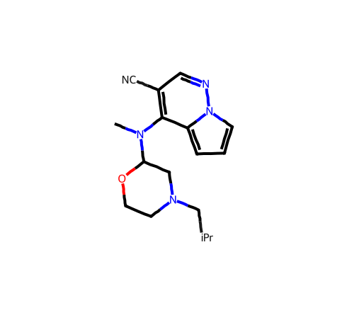 CC(C)CN1CCOC(N(C)c2c(C#N)cnn3cccc23)C1